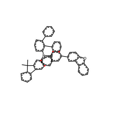 CC1(C)c2ccccc2-c2ccc(N(c3ccc(-c4ccc5oc6ccccc6c5c4)cc3)c3cccc(-c4ccccc4)c3-c3ccccc3-c3ccccc3)cc21